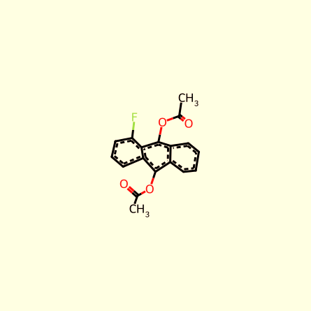 CC(=O)Oc1c2ccccc2c(OC(C)=O)c2c(F)cccc12